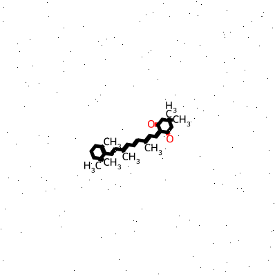 CC1=C(/C=C/C(C)=C/C=C/C(C)=C/C=C2C(=O)CC(C)(C)CC2=O)C(C)(C)CCC1